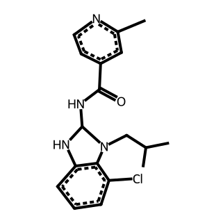 Cc1cc(C(=O)NC2Nc3cccc(Cl)c3N2CC(C)C)ccn1